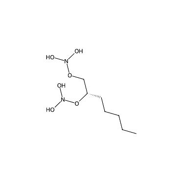 CCCCC[C@@H](CON(O)O)ON(O)O